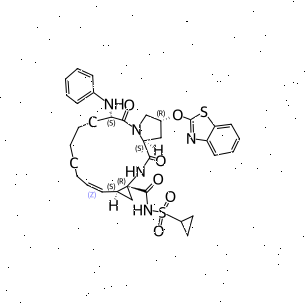 O=C1N[C@]2(C(=O)NS(=O)(=O)C3CC3)C[C@H]2/C=C\CCCCC[C@H](Nc2ccccc2)C(=O)N2C[C@H](Oc3nc4ccccc4s3)C[C@@H]12